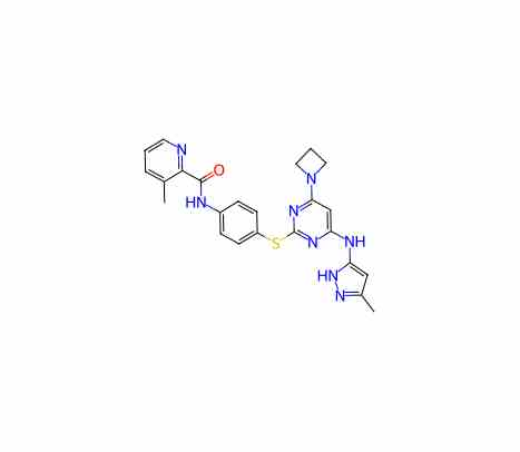 Cc1cc(Nc2cc(N3CCC3)nc(Sc3ccc(NC(=O)c4ncccc4C)cc3)n2)[nH]n1